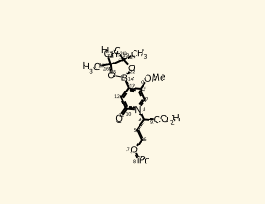 COc1cn(C(CCOC(C)C)C(=O)O)c(=O)cc1B1OC(C)(C)C(C)(C)O1